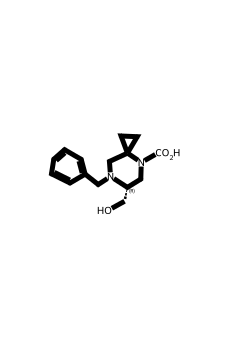 O=C(O)N1C[C@H](CO)N(Cc2ccccc2)CC12CC2